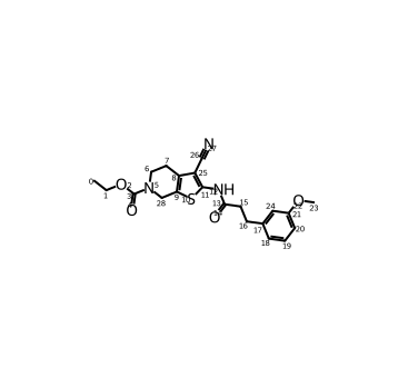 CCOC(=O)N1CCc2c(sc(NC(=O)CCc3cccc(OC)c3)c2C#N)C1